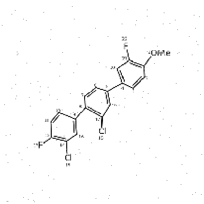 COc1ccc(-c2ccc(-c3ccc(F)c(Cl)c3)c(Cl)c2)cc1F